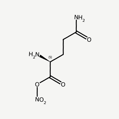 NC(=O)CC[C@H](N)C(=O)O[N+](=O)[O-]